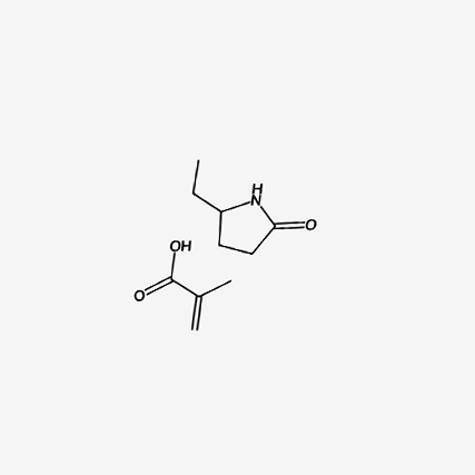 C=C(C)C(=O)O.CCC1CCC(=O)N1